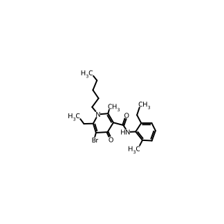 CCCCCn1c(C)c(C(=O)Nc2c(C)cccc2CC)c(=O)c(Br)c1CC